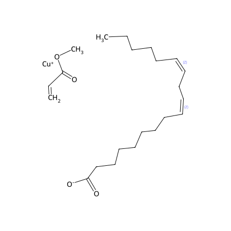 C=CC(=O)OC.CCCCC/C=C\C/C=C\CCCCCCCC(=O)[O-].[Cu+]